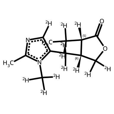 [2H]c1nc(C)n(C([2H])([2H])[2H])c1C([2H])([2H])[C@@]1([2H])C([2H])([2H])OC(=O)[C@@]1([2H])C([2H])([2H])C